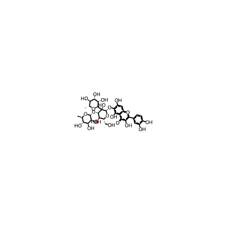 C[C@H]1O[C@H](O[C@H]2[C@H](O)[C@@H](CO)O[C@@H](Oc3c(O)cc4oc(-c5ccc(O)c(O)c5)c(O)c(=O)c4c3O)[C@@]2(O)[C@H]2O[C@H](C)[C@@H](O)[C@H](O)[C@@H]2O)[C@@H](O)[C@@H](O)[C@@H]1O